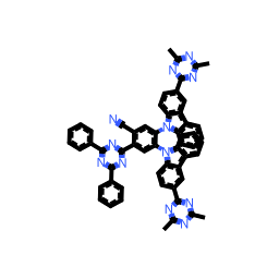 Cc1nc(C)nc(-c2ccc3c(c2)c2ccccc2n3-c2cc(C#N)c(-c3nc(-c4ccccc4)nc(-c4ccccc4)n3)cc2-n2c3ccccc3c3cc(-c4nc(C)nc(C)n4)ccc32)n1